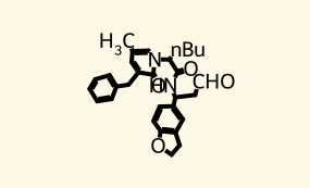 CCCCC(C(=O)NC(CC=O)c1ccc2c(c1)CCO2)n1cc(C)cc(Cc2ccccc2)c1=O